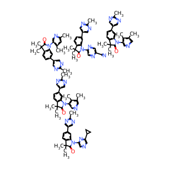 Cc1cc(C)c(N2C(=O)C(C)(C)c3ccc(-c4cnc(C)nc4)cc32)cn1.Cc1ncc(-c2ccc3c(c2)N(c2cnc(C#N)cn2)C(=O)C3(C)C)cn1.Cc1ncc(-c2ccc3c(c2)N(c2cncc(C)c2C)C(=O)C3(C)C)cn1.Cc1ncc(-c2ccc3c(c2)N(c2cncc(C)c2C)C(=O)C3(C)C)cn1.Cc1ncc(-c2ccc3c(c2)N(c2cncc(C4CC4)n2)C(=O)C3(C)C)cn1